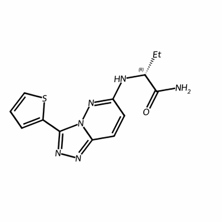 CC[C@@H](Nc1ccc2nnc(-c3cccs3)n2n1)C(N)=O